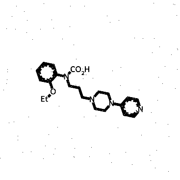 CCOc1ccccc1N(CCCN1CCN(c2ccncc2)CC1)C(=O)O